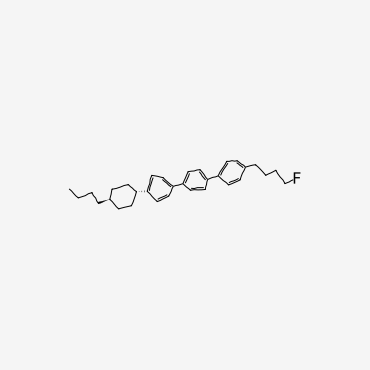 CCCC[C@H]1CC[C@H](c2ccc(-c3ccc(-c4ccc(CCCCF)cc4)cc3)cc2)CC1